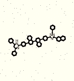 C1=C(c2ccccc2)NC(c2ccc(-c3ccc(-c4ccc(-c5ccc(C6N=C(c7ccc8ccccc8c7)N7C(c8ccccc8)N67)cc5)c5ccccc45)c4ccccc34)cc2)N=C1c1ccccc1